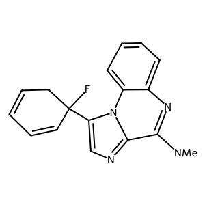 CNc1nc2ccccc2n2c(C3(F)C=CC=CC3)cnc12